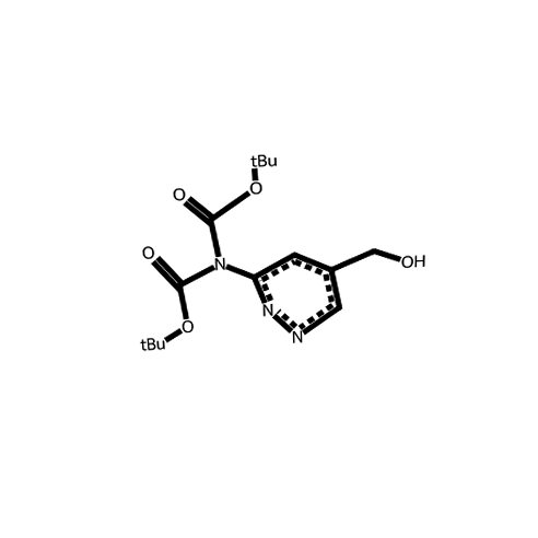 CC(C)(C)OC(=O)N(C(=O)OC(C)(C)C)c1cc(CO)cnn1